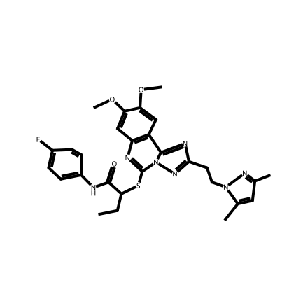 CCC(Sc1nc2cc(OC)c(OC)cc2c2nc(CCn3nc(C)cc3C)nn12)C(=O)Nc1ccc(F)cc1